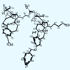 C[C@]12CC[C@@H]3c4ccc(O)cc4CC[C@H]3[C@@H]1C(CCCC(=O)Br)C=C2C(F)(F)F.C[C@]12CC[C@@H]3c4ccc(OCc5ccccc5)cc4CC[C@H]3[C@@H]1C(CCCCO)C=C2C(F)(F)F